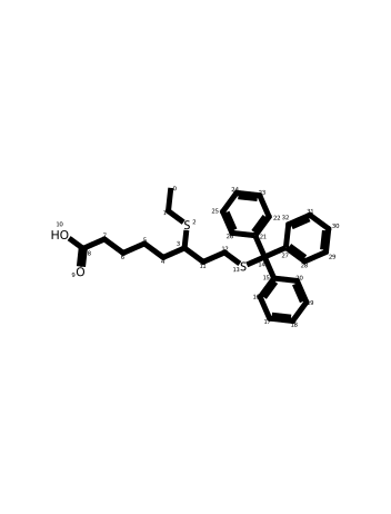 CCSC(CCCCC(=O)O)CCSC(c1ccccc1)(c1ccccc1)c1ccccc1